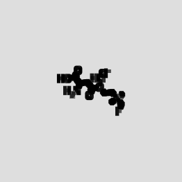 C[N+](C)(CF)CCOC(=O)CC(N)C(=O)O.Cl.[Cl-]